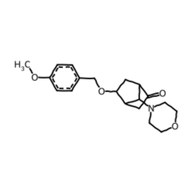 COc1ccc(COC2CC3C(=O)CC2C3N2CCOCC2)cc1